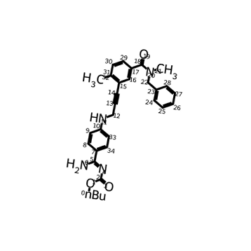 CCCCOC(=O)N=C(N)c1ccc(NCC#Cc2cc(C(=O)N(C)Cc3ccccc3)ccc2C)cc1